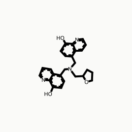 Oc1ccc(CN(Cc2ccc(O)c3ncccc23)CC2CCCO2)c2cccnc12